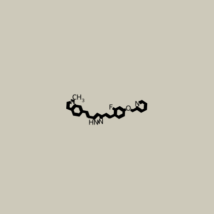 Cn1ccc2ccc(/C=C/c3cc(/C=C/c4ccc(OCc5ccccn5)cc4F)n[nH]3)cc21